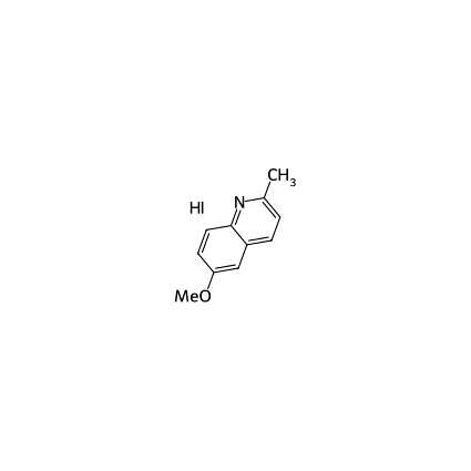 COc1ccc2nc(C)ccc2c1.I